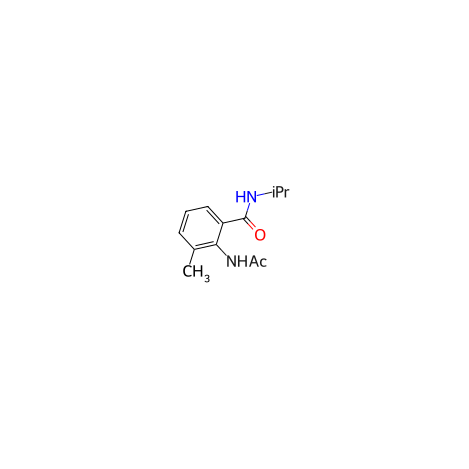 CC(=O)Nc1c(C)cccc1C(=O)NC(C)C